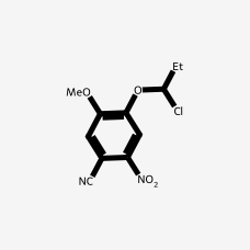 CCC(Cl)Oc1cc([N+](=O)[O-])c(C#N)cc1OC